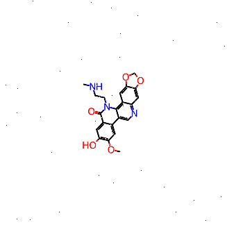 CNCCn1c(=O)c2cc(O)c(OC)cc2c2cnc3cc4c(cc3c21)OCO4